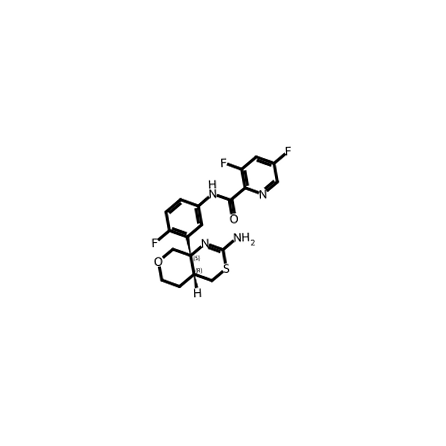 NC1=N[C@@]2(c3cc(NC(=O)c4ncc(F)cc4F)ccc3F)COCC[C@H]2CS1